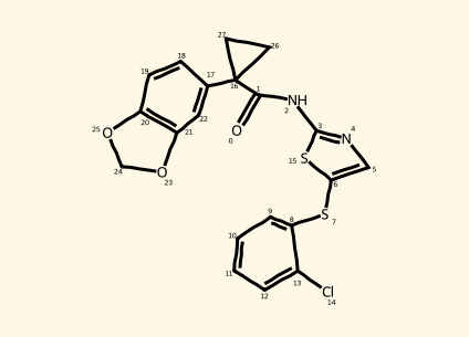 O=C(Nc1ncc(Sc2ccccc2Cl)s1)C1(c2ccc3c(c2)OCO3)CC1